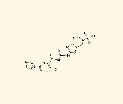 CS(=O)(=O)C1=CC2SC(NC(=O)NC(=O)c3cc(-n4ccnc4)ccc3Cl)=NC2C=C1